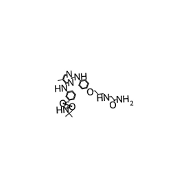 Cc1cnc(Nc2ccc(OCCCNCC(N)=O)cc2)nc1Nc1cccc(S(=O)(=O)NC(C)(C)C)c1